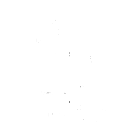 CC=C(C)CCC=C(C)COc1ccccc1C(=COC)C(=O)O